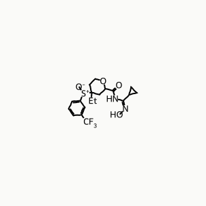 CCC1([S+]([O-])c2cccc(C(F)(F)F)c2)CCOC(C(=O)N/C(=N\O)C2CC2)C1